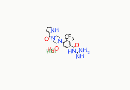 Cl.N=C(N)NC(=O)c1ccc(N2CCN(C(=O)c3ccc[nH]3)CC2)c(C(F)(F)F)c1.O